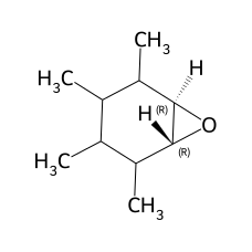 CC1C(C)C(C)[C@H]2O[C@@H]2C1C